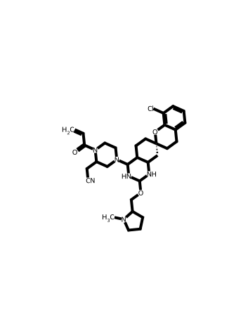 C=CC(=O)N1CCN(C2NC(OCC3CCCN3C)NC3C[C@]4(CCc5cccc(Cl)c5O4)CCC32)CC1CC#N